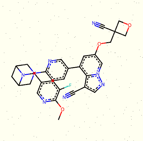 COc1ncc(CN2C3CC2CN(c2ccc(-c4cc(OCC5(C#N)COC5)cn5ncc(C#N)c45)cn2)C3)cc1F